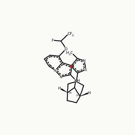 Cc1cc(N2C[C@H]3CC[C@@H](C2)C3Nc2nc3c(OC(F)C(F)(F)F)cccn3n2)sn1